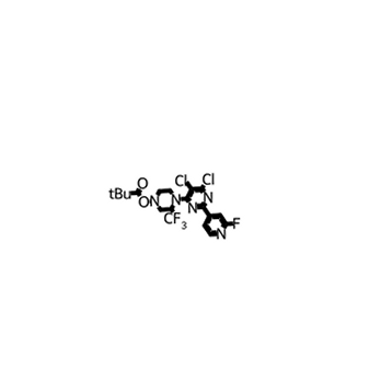 CC(C)(C)C(=O)ON1CCN(c2nc(-c3ccnc(F)c3)nc(Cl)c2Cl)C(C(F)(F)F)C1